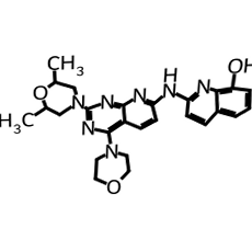 CC1CN(c2nc(N3CCOCC3)c3ccc(Nc4ccc5cccc(O)c5n4)nc3n2)CC(C)O1